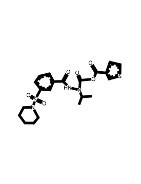 CC(C)N(NC(=O)c1cccc(S(=O)(=O)N2CCCCC2)c1)C(=O)OC(=O)c1ccsc1